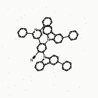 N#Cc1cc(-c2cc(-c3ccccc3)nc(-c3ccccc3)c2)c(-n2c3ccccc3c3cc(-c4ccccc4)ccc32)cc1-n1c2ccccc2c2cc(-c3ccccc3)ccc21